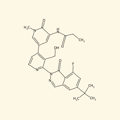 CCC(=O)Nc1cc(-c2ccnc(-n3ncc4cc(C(C)(C)C)cc(F)c4c3=O)c2CO)cn(C)c1=O